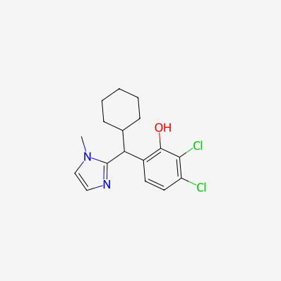 Cn1ccnc1C(c1ccc(Cl)c(Cl)c1O)C1CCCCC1